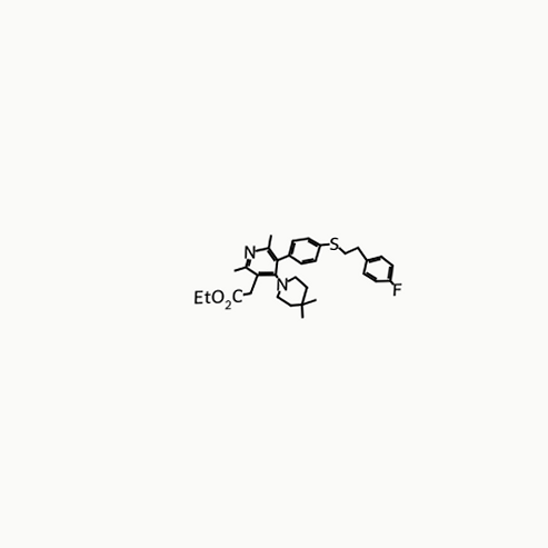 CCOC(=O)Cc1c(C)nc(C)c(-c2ccc(SCCc3ccc(F)cc3)cc2)c1N1CCC(C)(C)CC1